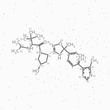 C=C(/C=C\C(=C/C)C1(C)NC([C@@H]2C[C@@H](O)CN2C(=O)[C@@H](NC(C)C)C(C)(C)C)=NO1)c1scnc1C